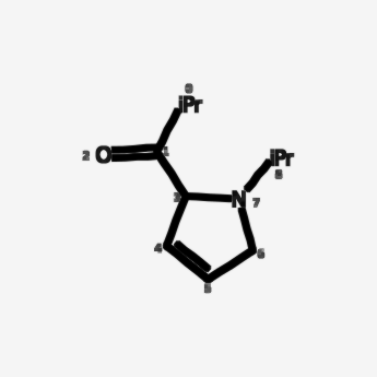 CC(C)C(=O)C1C=CCN1C(C)C